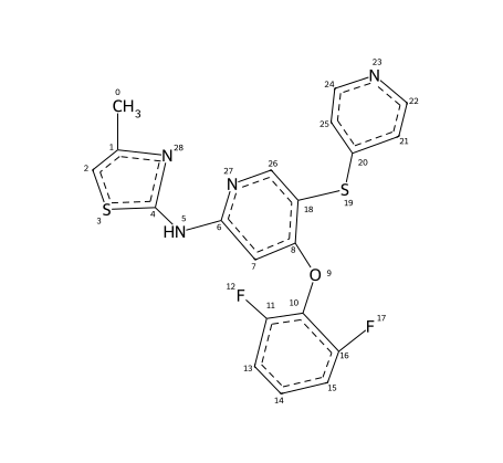 Cc1csc(Nc2cc(Oc3c(F)cccc3F)c(Sc3ccncc3)cn2)n1